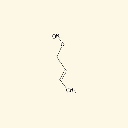 CC=CCON=O